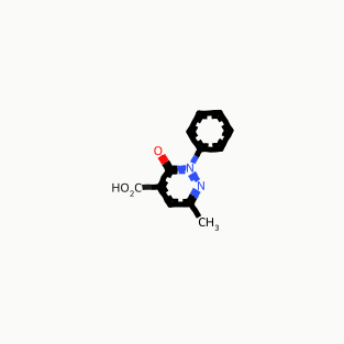 Cc1cc(C(=O)O)c(=O)n(-c2ccccc2)n1